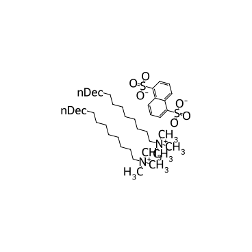 CCCCCCCCCCCCCCCCCC[N+](C)(C)C.CCCCCCCCCCCCCCCCCC[N+](C)(C)C.O=S(=O)([O-])c1cccc2c(S(=O)(=O)[O-])cccc12